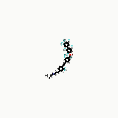 C/C=C/CCC1=CCC(C#Cc2ccc(C(F)(F)Oc3cc(F)c(-c4cc(F)c(F)c(F)c4)c(F)c3)c(F)c2)C(F)=C1